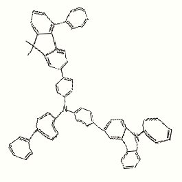 CC1(C)c2cc(-c3ccc(N(c4ccc(-c5ccccc5)cc4)c4ccc(-c5ccc6c(c5)c5ccccc5n6-c5ccccc5)cc4)cc3)ccc2-c2c(-c3ccccc3)cccc21